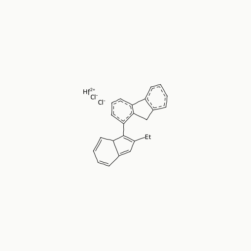 CCC1=C(c2cccc3c2Cc2ccccc2-3)C2C=CC=CC2=C1.[Cl-].[Cl-].[Hf+2]